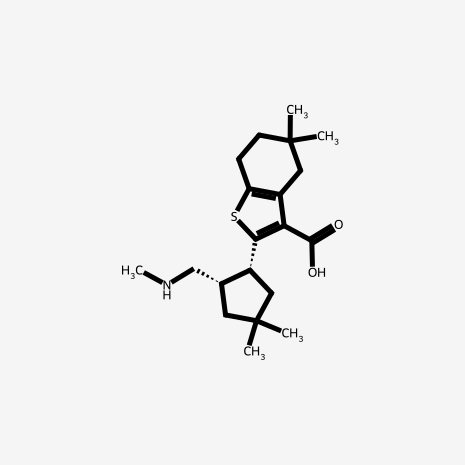 CNC[C@H]1CC(C)(C)C[C@H]1c1sc2c(c1C(=O)O)CC(C)(C)CC2